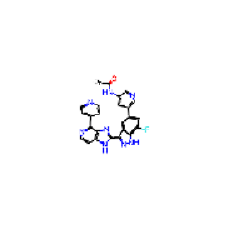 CC(C)C(=O)Nc1cncc(-c2cc(F)c3[nH]nc(-c4nc5c(-c6ccncc6)nccc5[nH]4)c3c2)c1